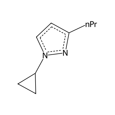 CCCc1ccn(C2CC2)n1